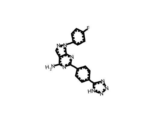 Nc1nc(-c2ccc(-c3nnn[nH]3)cc2)nc2c1cnn2-c1ccc(F)cc1